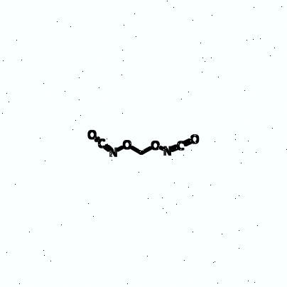 O=C=NOCON=C=O